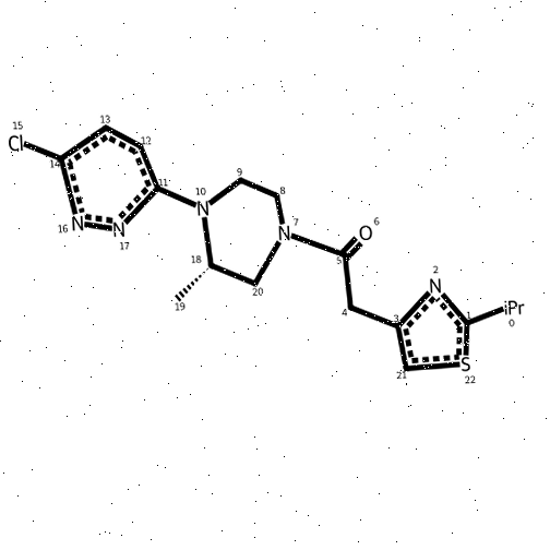 CC(C)c1nc(CC(=O)N2CCN(c3ccc(Cl)nn3)[C@@H](C)C2)cs1